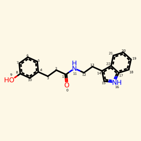 O=C(CCc1cccc(O)c1)NCCc1c[nH]c2ccccc12